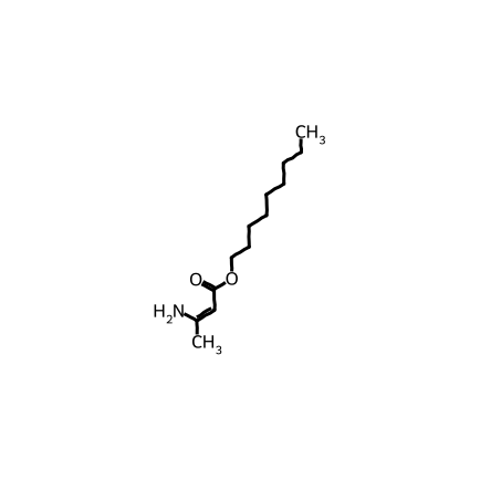 CCCCCCCCCOC(=O)C=C(C)N